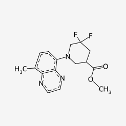 COC(=O)C1CN(c2ccc(C)c3nccnc23)CC(F)(F)C1